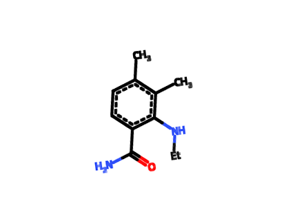 CCNc1c(C(N)=O)ccc(C)c1C